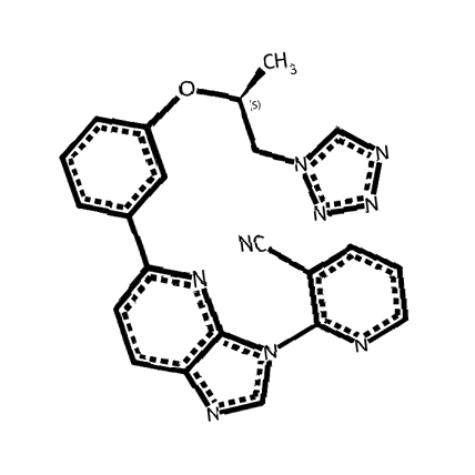 C[C@@H](Cn1cnnn1)Oc1cccc(-c2ccc3ncn(-c4ncccc4C#N)c3n2)c1